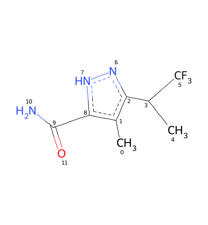 Cc1c(C(C)C(F)(F)F)n[nH]c1C(N)=O